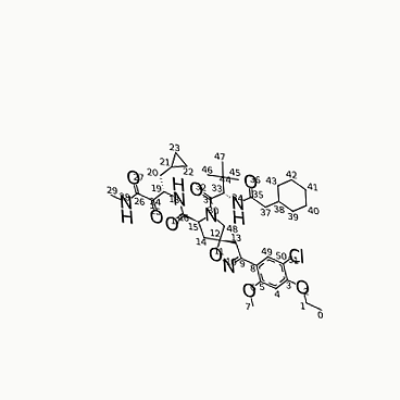 CCOc1cc(OC)c(C2=NO[C@]3(C2)C[C@@H](C(=O)N[C@@H](CC2CC2)C(=O)C(=O)NC)N(C(=O)[C@@H](NC(=O)CC2CCCCC2)C(C)(C)C)C3)cc1Cl